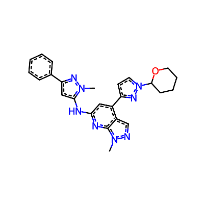 Cn1nc(-c2ccccc2)cc1Nc1cc(-c2ccn(C3CCCCO3)n2)c2cnn(C)c2n1